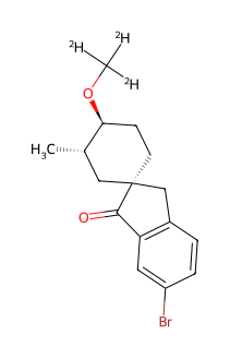 [2H]C([2H])([2H])O[C@H]1CC[C@@]2(Cc3ccc(Br)cc3C2=O)C[C@@H]1C